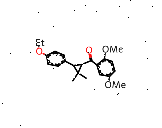 CCOc1ccc(C2C(C(=O)c3cc(OC)ccc3OC)C2(C)C)cc1